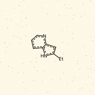 [CH2]Cc1cc2ncccc2[nH]1